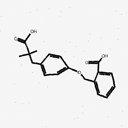 CC(C)(Cc1ccc(OCc2ccccc2C(=O)O)cc1)C(=O)O